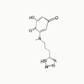 CN(CCCc1nnn[nH]1)C1=CC(=O)C=C(O)C1=O